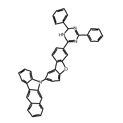 c1ccc(C2=NC(c3ccccc3)NC(c3ccc4c(c3)oc3ccc(-n5c6ccccc6c6cc7ccccc7cc65)cc34)=N2)cc1